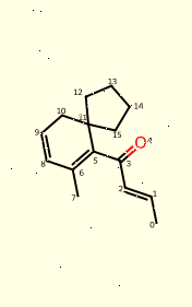 CC=CC(=O)C1=C(C)C=CCC12CCCC2